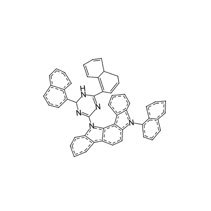 C1=CC2=C(C3=NC(n4c5ccccc5c5ccc6c(c7ccccc7n6-c6cccc7ccccc67)c54)=NC(c4cccc5ccccc45)N3)C=CCC2C=C1